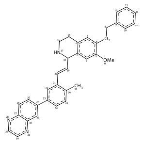 COc1cc2c(cc1OCc1ccccc1)CCNC2/C=C/c1cc(-c2ccc3nccnc3c2)ccc1C